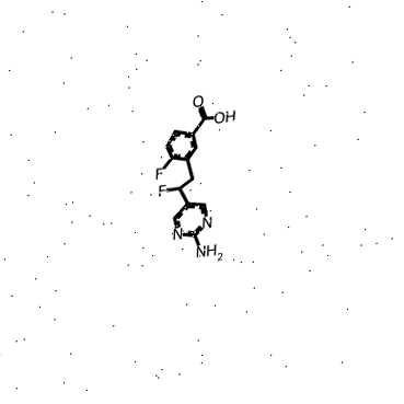 Nc1ncc(C(F)Cc2cc(C(=O)O)ccc2F)cn1